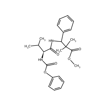 COC(=O)C(C)(C)C(NC(=O)[C@@H](NC(=O)Oc1ccccc1)C(C)C)c1ccccc1